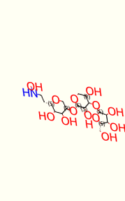 OC[C@@H]1O[C@@H](OC2[C@H](O)CO[C@@H](O[C@@H]3CO[C@@H](CCNO)C(O)C3O)[C@H]2O)C(O)C1O